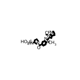 Cn1c(-c2cc3cccnc3n2CC(F)(F)F)nc2cc(C(=O)N3CCCC(NC(=O)O)C3)ccc21